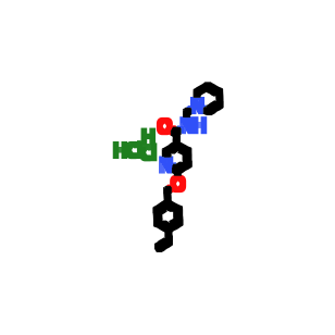 C=Cc1ccc(COc2ccc(C(=O)NCN3C=CC=CC3)cn2)cc1.Cl.Cl